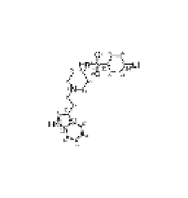 O=S(=O)(NC1CCN(CCc2c[nH]c3ccccc23)CC1)c1ccc(Cl)cc1